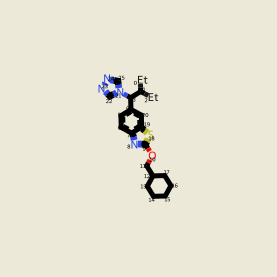 CCC(CC)C(c1ccc2nc(OCC3CCCCC3)sc2c1)n1cnnc1